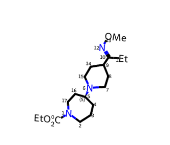 CCOC(=O)N1CCC[C@H](N2CCC(C(CC)=NOC)CC2)CC1